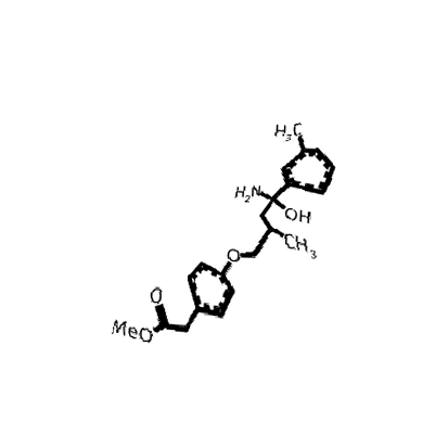 COC(=O)Cc1ccc(OCC(C)CC(N)(O)c2cccc(C)c2)cc1